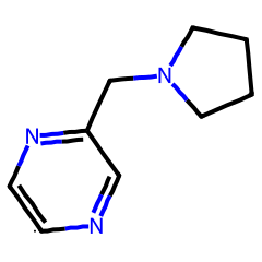 [c]1cnc(CN2CCCC2)cn1